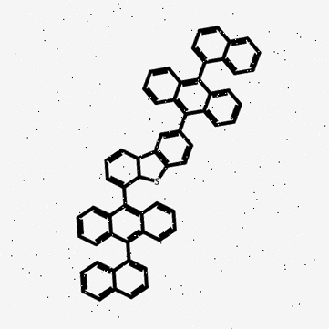 C1=CC2c3cc(-c4c5ccccc5c(-c5cccc6ccccc56)c5ccccc45)ccc3SC2C(c2c3ccccc3c(-c3cccc4ccccc34)c3ccccc23)=C1